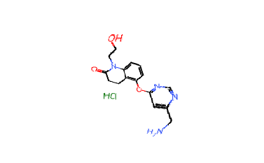 Cl.NCc1cc(Oc2cccc3c2CCC(=O)N3CCO)ncn1